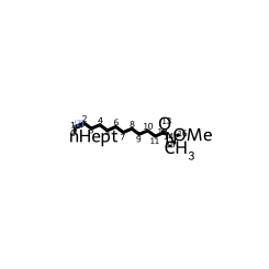 CCCCCCC/C=C\CCCCCCCCCC(=O)N(C)OC